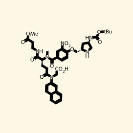 COC(=O)CCNC(=O)[C@H](CCC(=O)N(CC(=O)O)c1ccc2ccccc2c1)N(C)C(=O)c1ccc(OC[C@@H]2C[C@@H](NC(=O)OC(C)(C)C)CN2)c([N+](=O)[O-])c1